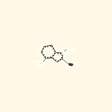 Cc1cccc2c1cc(C#N)n2C